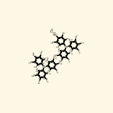 Fc1c(F)c(F)[c]([Sb]([c]2c(F)c(F)c(F)c(F)c2F)[c]2c(F)c(F)c(F)c(F)c2F)c(F)c1F.Fc1c(F)c(F)[c]([Sb]([c]2c(F)c(F)c(F)c(F)c2F)[c]2c(F)c(F)c(F)c(F)c2F)c(F)c1F.[Cl-].[Cl-]